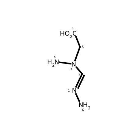 NN=CN(N)CC(=O)O